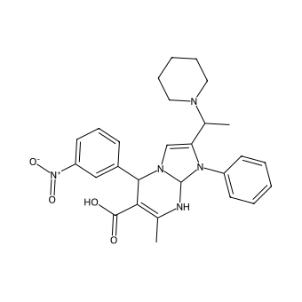 CC1=C(C(=O)O)C(c2cccc([N+](=O)[O-])c2)N2C=C(C(C)N3CCCCC3)N(c3ccccc3)C2N1